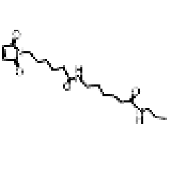 CCCNC(=O)CCCCCNC(=O)CCCCCN1C(=O)C=CC1=O